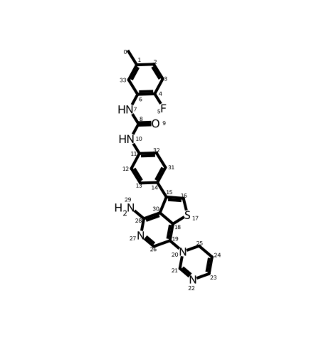 Cc1ccc(F)c(NC(=O)Nc2ccc(-c3csc4c(N5C=NC=CC5)cnc(N)c34)cc2)c1